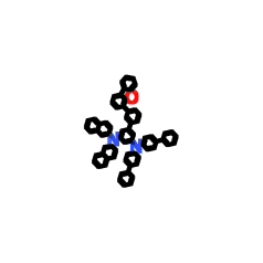 c1ccc(-c2ccc(N(c3ccc(-c4ccccc4)cc3)c3cc(-c4cccc(-c5cccc6c5oc5ccccc56)c4)cc(N(c4ccc5ccccc5c4)c4ccc5ccccc5c4)c3)cc2)cc1